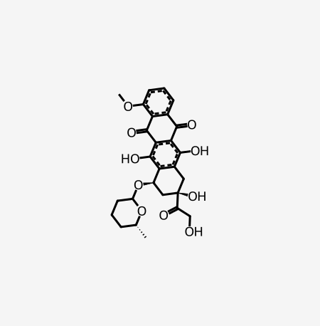 COc1cccc2c1C(=O)c1c(O)c3c(c(O)c1C2=O)C[C@](O)(C(=O)CO)C[C@H]3OC1CCC[C@@H](C)O1